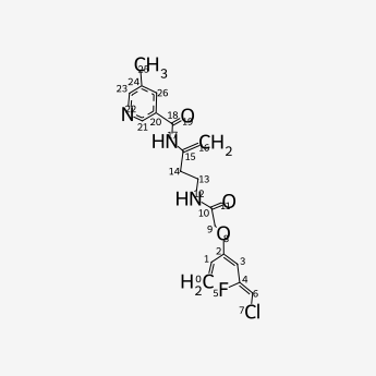 C=C/C(=C\C(F)=C\Cl)OCC(=O)NCCC(=C)NC(=O)c1cncc(C)c1